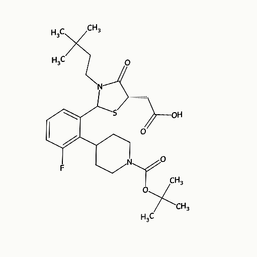 CC(C)(C)CCN1C(=O)[C@H](CC(=O)O)SC1c1cccc(F)c1C1CCN(C(=O)OC(C)(C)C)CC1